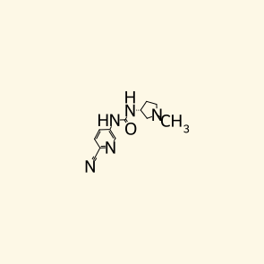 CN1CC[C@@H](NC(=O)Nc2ccc(C#N)nc2)C1